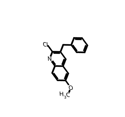 COc1ccc2nc(Cl)c(Cc3ccccc3)cc2c1